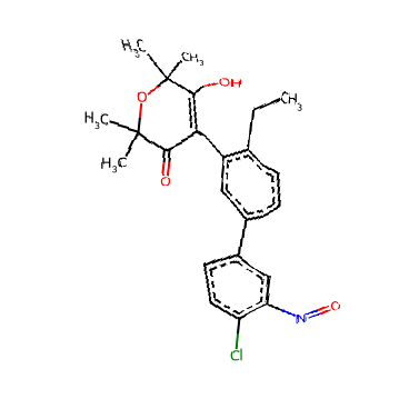 CCc1ccc(-c2ccc(Cl)c(N=O)c2)cc1C1=C(O)C(C)(C)OC(C)(C)C1=O